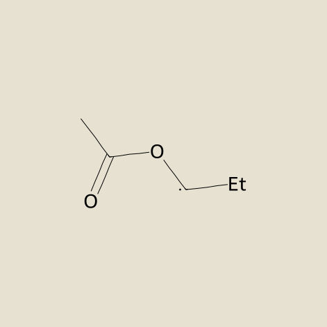 [CH2]C[CH]OC(C)=O